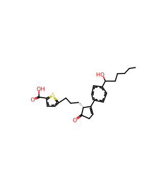 CCCCCC(O)c1ccc(C2=CCC(=O)[C@@H]2CCCc2ccc(C(=O)O)s2)cc1